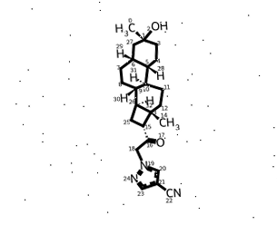 C[C@@]1(O)CC[C@H]2[C@H](CC[C@@H]3[C@@H]2CC[C@]2(C)[C@H](C(=O)Cn4cc(C#N)cn4)C[C@@H]32)C1